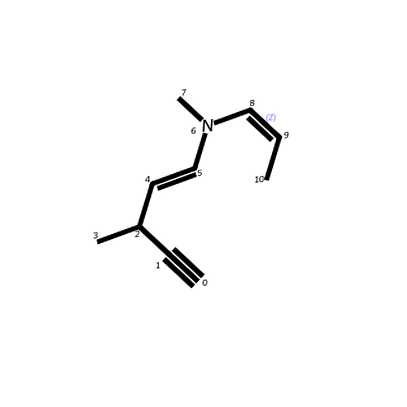 C#CC(C)C=CN(C)/C=C\C